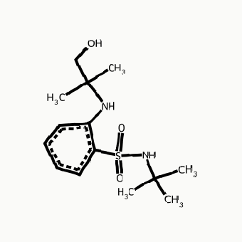 CC(C)(C)NS(=O)(=O)c1ccccc1NC(C)(C)CO